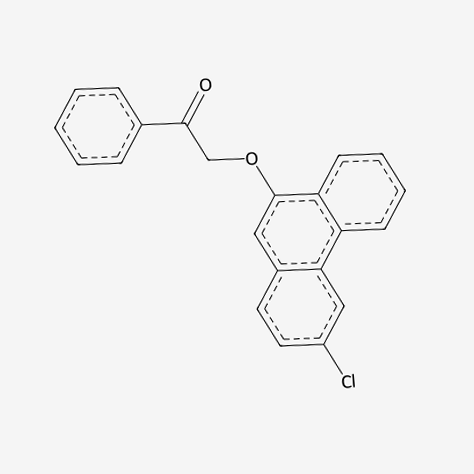 O=C(COc1cc2ccc(Cl)cc2c2ccccc12)c1ccccc1